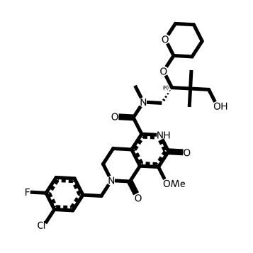 COc1c2c(c(C(=O)N(C)C[C@H](OC3CCCCO3)C(C)(C)CO)[nH]c1=O)CCN(Cc1ccc(F)c(Cl)c1)C2=O